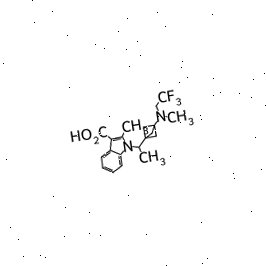 Cc1c(C(=O)O)c2ccccc2n1C(C)C12CC(N(C)CC(F)(F)F)(C1)C2